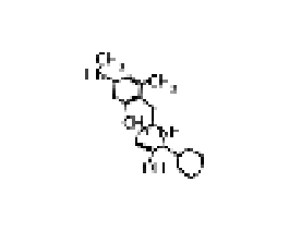 CNC1C=C(C)C(CC2CC=C(O)C(C3CCCCC3)N2)=C(C)C1